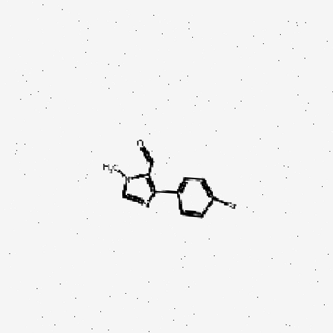 Cn1cnc(-c2ccc(Br)cc2)c1C=O